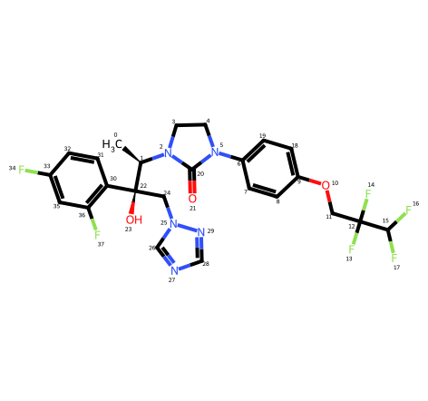 C[C@@H](N1CCN(c2ccc(OCC(F)(F)C(F)F)cc2)C1=O)[C@](O)(Cn1cncn1)c1ccc(F)cc1F